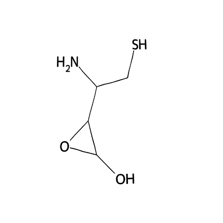 NC(CS)C1OC1O